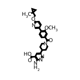 COc1cc(C(=O)N2CCC(c3cc(C(=O)O)c(N)nn3)CC2)ccc1-c1ccc(OCC2(C)CC2)nc1